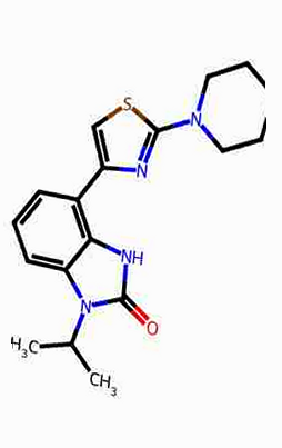 CC(C)n1c(=O)[nH]c2c(-c3csc(N4CCCCC4)n3)cccc21